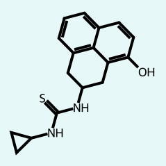 Oc1ccc2cccc3c2c1CC(NC(=S)NC1CC1)C3